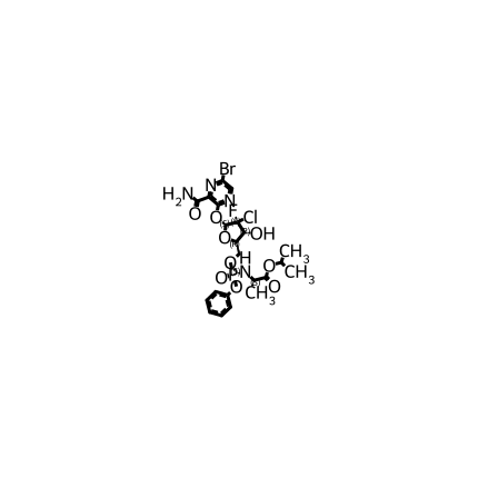 CC(C)OC(=O)[C@H](C)N[P@](=O)(OC[C@H]1O[C@@H](Oc2ncc(Br)nc2C(N)=O)[C@@](F)(Cl)[C@@H]1O)Oc1ccccc1